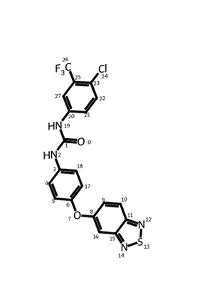 O=C(Nc1ccc(Oc2ccc3nsnc3c2)cc1)Nc1ccc(Cl)c(C(F)(F)F)c1